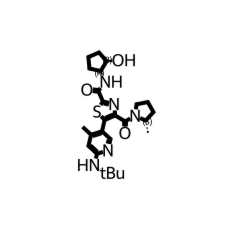 Cc1cc(NC(C)(C)C)ncc1-c1sc(C(=O)N[C@@H]2CCC[C@H]2O)nc1C(=O)N1CCC[C@@H]1C